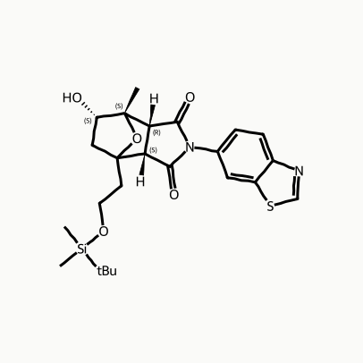 CC(C)(C)[Si](C)(C)OCCC12C[C@H](O)[C@@](C)(O1)[C@@H]1C(=O)N(c3ccc4ncsc4c3)C(=O)[C@@H]12